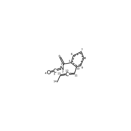 C=C(N=C=O)c1ccccc1C=C=CC